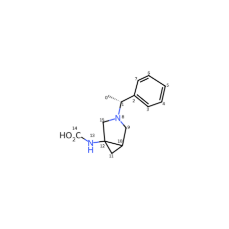 C[C@H](c1ccccc1)N1CC2CC2(NC(=O)O)C1